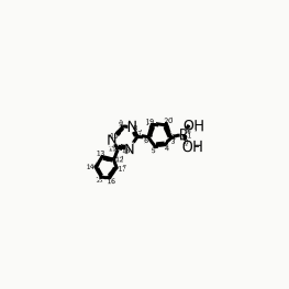 OB(O)c1ccc(-c2ncnc(-c3ccccc3)n2)cc1